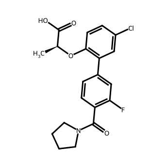 C[C@H](Oc1ccc(Cl)cc1-c1ccc(C(=O)N2CCCC2)c(F)c1)C(=O)O